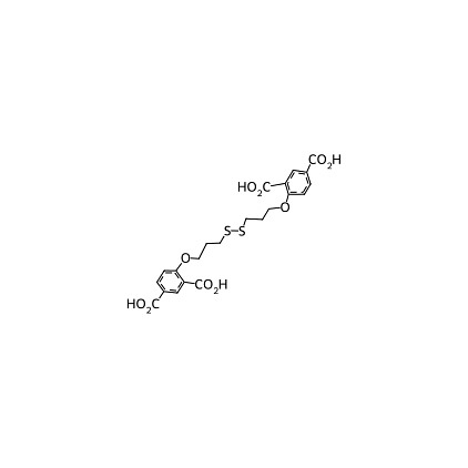 O=C(O)c1ccc(OCCCSSCCCOc2ccc(C(=O)O)cc2C(=O)O)c(C(=O)O)c1